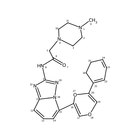 CN1CCN(CC(=O)Nc2nc3cccc(C4=COC=C(C5=CC=CCC5)O4)n3n2)CC1